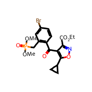 CCOC(=O)c1noc(C2CC2)c1C(=O)c1ccc(Br)cc1CP(=O)(OC)OC